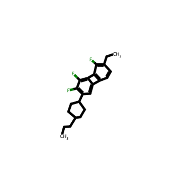 CCCC1CCC(c2cc3c(c(F)c2F)-c2c-3ccc(CC)c2F)CC1